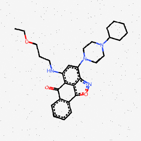 CCOCCCNc1cc(N2CCN(C3CCCCC3)CC2)c2noc3c2c1C(=O)c1ccccc1-3